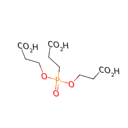 O=C(O)CCOP(=O)(CCC(=O)O)OCCC(=O)O